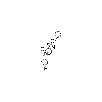 O=C1c2sc(OCc3ccccc3)nc2CCN1Cc1ccc(F)cc1